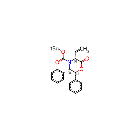 C=C[C@@H]1C(=O)O[C@H](c2ccccc2)[C@H](c2ccccc2)N1C(=O)OC(C)(C)C